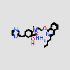 CCCCc1cc2ccccc2c(OCC[N+](C)(C)[C@H]2CCC(Cc3cnccn3)C[C@@]2(O)C(N)=O)n1